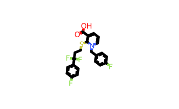 O=C(O)C1=CC=CN(Cc2ccc(F)cc2)C1SCCC(F)(F)c1ccc(F)cc1